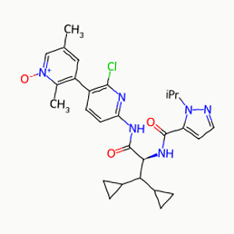 Cc1cc(-c2ccc(NC(=O)[C@@H](NC(=O)c3ccnn3C(C)C)C(C3CC3)C3CC3)nc2Cl)c(C)[n+]([O-])c1